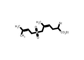 CCOC(=O)C(CC=C(C)CS(=O)(=O)CC=C(C)C)C(C)=O